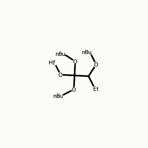 CCCCOC(CC)C([O][Hf])(OCCCC)OCCCC